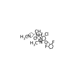 Cc1nc2c(OCc3c(F)cccc3F)cc(Cl)cn2c1C(=O)NC(C)C1CCN(C)CC1